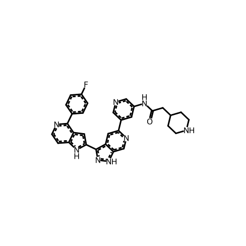 O=C(CC1CCNCC1)Nc1cncc(-c2cc3c(-c4cc5c(-c6ccc(F)cc6)nccc5[nH]4)n[nH]c3cn2)c1